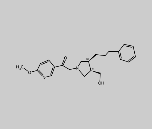 COc1ccc(C(=O)CN2C[C@@H](CCCc3ccccc3)[C@@H](CO)C2)cn1